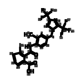 Cc1cc(Cn2nc(C(F)(F)F)nc2C(F)(F)F)ccc1NC(=O)c1c(I)cccc1C(=O)O